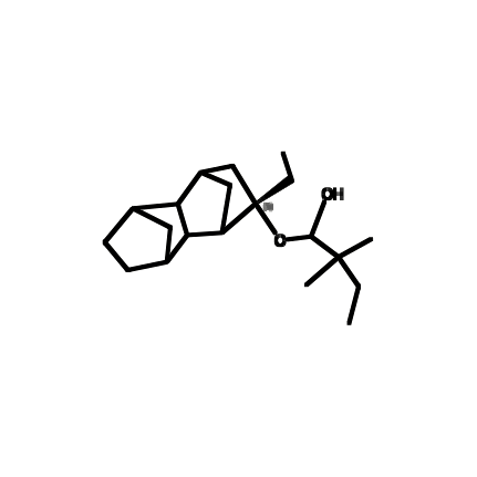 CCC(C)(C)C(O)O[C@@]1(CC)CC2CC1C1C3CCC(C3)C21